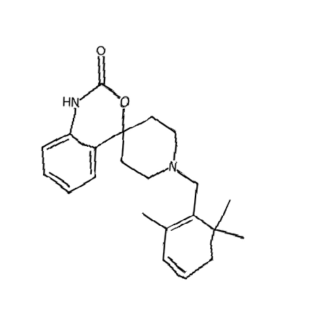 CC1=C(CN2CCC3(CC2)OC(=O)Nc2ccccc23)C(C)(C)CC=C1